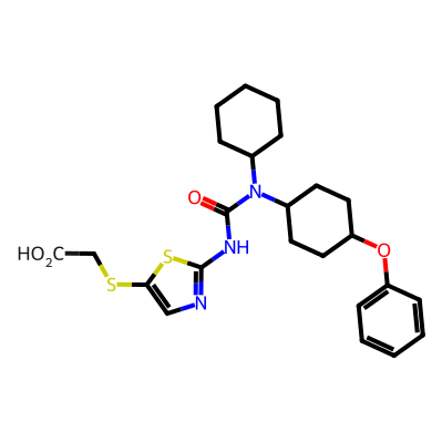 O=C(O)CSc1cnc(NC(=O)N(C2CCCCC2)C2CCC(Oc3ccccc3)CC2)s1